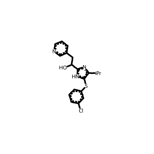 CC(C)c1nc(C(O)Cc2cccnc2)[nH]c1Sc1cccc(Cl)c1